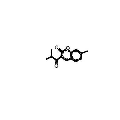 Cc1ccc2cc(C(=O)C(C)C)c(=O)oc2c1